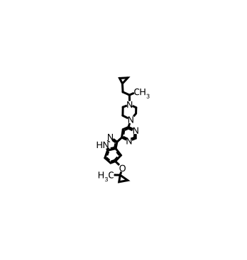 CC(CC1CC1)N1CCN(c2cc(-c3n[nH]c4ccc(OC5(C)CC5)cc34)ncn2)CC1